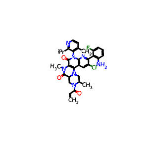 C=CC(=O)N1CC2C(=O)N(C)c3c(c4cc(Cl)c(-c5c(N)cccc5F)nc4n(-c4c(C)ccnc4C(C)C)c3=O)N2CC1C